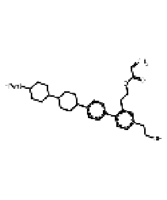 C=CC(=O)OCCc1cc(CCO)ccc1-c1ccc(C2CCC(C3CCC(CCCCC)CC3)CC2)cc1